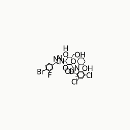 CO[C@@H]1[C@@H](n2cc(-c3ccc(Br)c(F)c3)nn2)[C@@H](O)[C@@H](CO)O[C@H]1C(=O)N(c1cc(Cl)cc(Cl)c1)[C@H]1CCCC[C@@H]1O